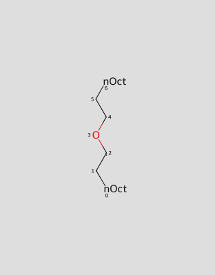 CCCCCCCCC[CH]OCCCCCCCCCC